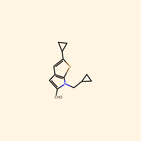 O=Cc1cc2cc(C3CC3)sc2n1CC1CC1